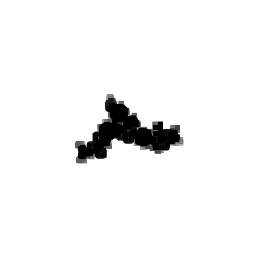 COC1CCC([C@@H]2CCN(C(=O)C3CCC([C@@H](CF)NC(=O)OC(C)(C)C)CC3)[C@@H]2C(=O)Nc2ccc3oc(C(=O)OCC(C)C)cc3c2)CC1